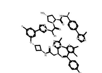 Cc1ncsc1-c1ccc([C@H](C)NC(=O)[C@@H]2C[C@@H](O)CN2C(=O)C(C(C)C)n2cc(-c3cc(F)cc(O[C@H]4C[C@H](NC(=O)C[C@@H]5N=C(c6ccc(Cl)cc6)c6c(sc(C)c6C)-n6c(C)nnc65)C4)c3)cn2)cc1